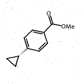 COC(=O)c1ccc([C@@H]2[CH]C2)cc1